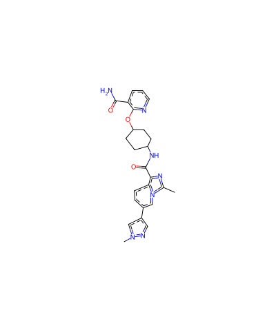 Cc1nc(C(=O)NC2CCC(Oc3ncccc3C(N)=O)CC2)c2ccc(-c3cnn(C)c3)cn12